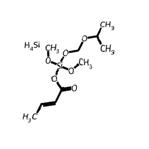 CC=CC(=O)O[Si](OC)(OC)OCOC(C)C.[SiH4]